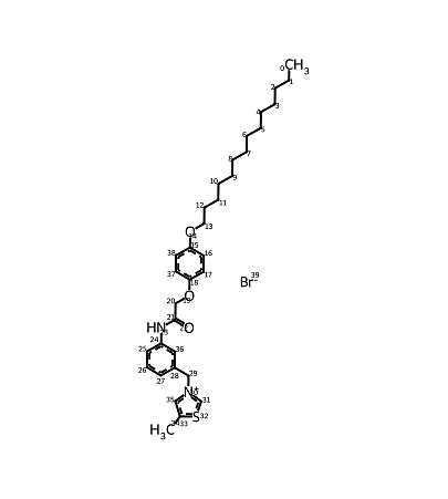 CCCCCCCCCCCCCCOc1ccc(OCC(=O)Nc2cccc(C[n+]3csc(C)c3)c2)cc1.[Br-]